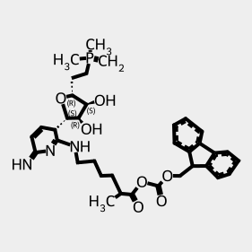 C=P(C)(C)CC[C@H]1O[C@@H](C2C=CC(=N)N=C2NCCCCC(C)C(=O)OC(=O)OCC2c3ccccc3-c3ccccc32)[C@H](O)[C@@H]1O